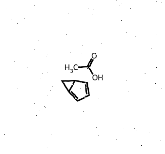 C1=CC2CC2=C1.CC(=O)O